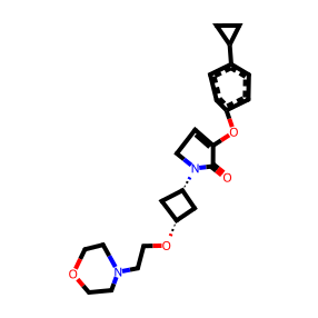 O=C1C(Oc2ccc(C3CC3)cc2)=CCN1[C@H]1C[C@@H](OCCN2CCOCC2)C1